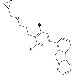 Brc1cc(-c2cccc3c2Cc2ccccc2-3)cc(Br)c1CCCOCC1CO1